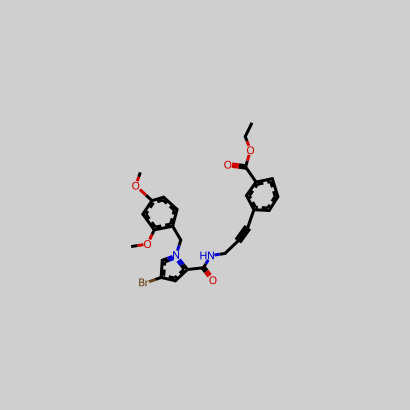 CCOC(=O)c1cccc(C#CCNC(=O)c2cc(Br)cn2Cc2ccc(OC)cc2OC)c1